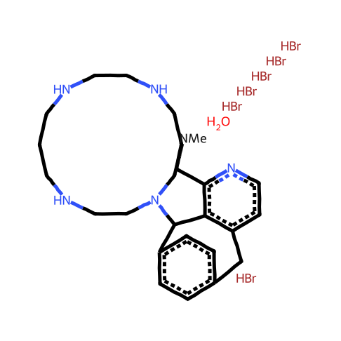 Br.Br.Br.Br.Br.Br.CNCc1nccc2c1C(N1CCCNCCNCCCNCC1)c1ccc(cc1)C2.O